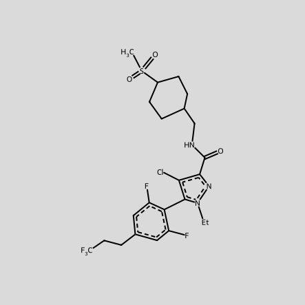 CCn1nc(C(=O)NCC2CCC(S(C)(=O)=O)CC2)c(Cl)c1-c1c(F)cc(CCC(F)(F)F)cc1F